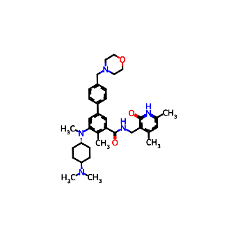 Cc1cc(C)c(CNC(=O)c2cc(-c3ccc(CN4CCOCC4)cc3)cc(N(C)[C@H]3CC[C@H](N(C)C)CC3)c2C)c(=O)[nH]1